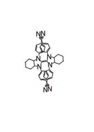 N#Cc1ccc(N2C(=C3N(c4ccc(C#N)cc4)C4CCCCC4N3c3ccc(C#N)cc3)N(c3ccc(C#N)cc3)C3CCCCC32)cc1